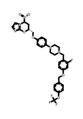 O=[N+]([O-])C1C[C@H](COc2ccc(N3CCN(Cc4ccc(OCc5ccc(OC(F)(F)F)cc5)cc4F)CC3)cc2)Oc2nccn21